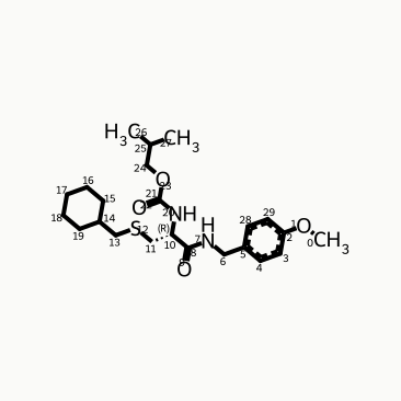 COc1ccc(CNC(=O)[C@H](CSCC2CCCCC2)NC(=O)OCC(C)C)cc1